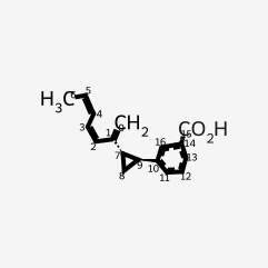 C=C(/C=C\C=C/C)[C@H]1C[C@@H]1c1cccc(C(=O)O)c1